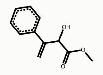 C=C(c1ccccc1)C(O)C(=O)OC